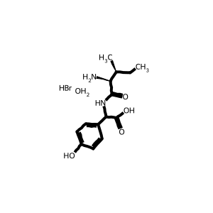 Br.CC[C@H](C)[C@H](N)C(=O)NC(C(=O)O)c1ccc(O)cc1.O